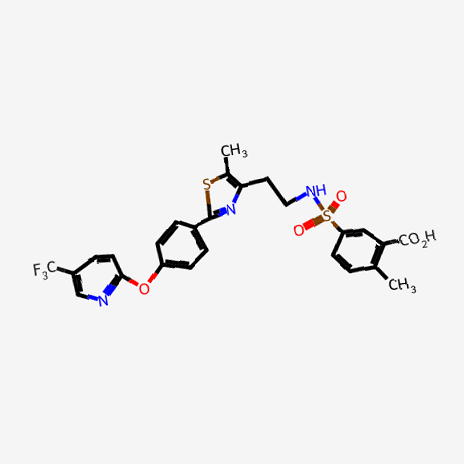 Cc1ccc(S(=O)(=O)NCCc2nc(-c3ccc(Oc4ccc(C(F)(F)F)cn4)cc3)sc2C)cc1C(=O)O